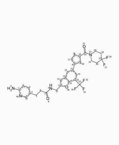 Nc1ccc(CCC(=O)NCc2cc3cc(-c4ccc(C(=O)N5CCC(F)(F)CC5)s4)cc(C(F)(F)F)c3o2)cn1